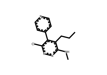 CCCc1c(NC)nnc(Cl)c1-c1ccncc1